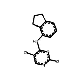 Clc1ncc(Cl)c(Nc2cccc3c2CCC3)n1